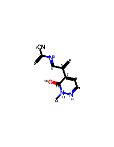 C=C(C#N)/N=C/C(=C)c1ccnn(C)c1=O